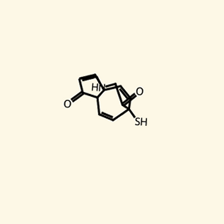 O=C1C2=CC3C=CC(S)(C=CC13)C(=O)CNC2